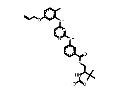 C=CCOc1ccc(C)c(Nc2ccnc(Nc3cccc(C(=O)NCC(NC(=O)O)C(C)(C)C)c3)n2)c1